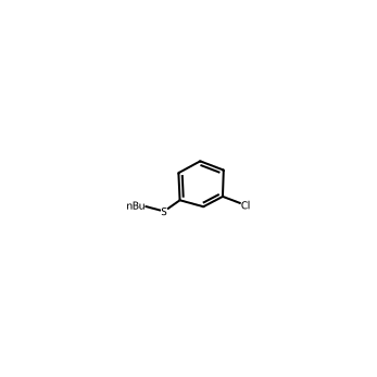 [CH2]CCCSc1cccc(Cl)c1